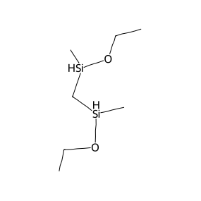 CCO[SiH](C)C[SiH](C)OCC